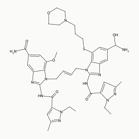 CCn1nc(C)cc1C(=O)Nc1nc2cc(C(N)=O)cc(OC)c2n1C/C=C/Cn1c(NC(=O)c2cc(C)nn2CC)nc2cc(C(N)O)cc(SCCCN3CCOCC3)c21